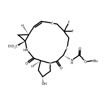 CCOC(=O)[C@@]12C[C@H]1/C=C\CCC(F)(F)CC[C@H](NC(=O)OC(C)(C)C)C(=O)N1C[C@H](O)C[C@H]1C(=O)N2